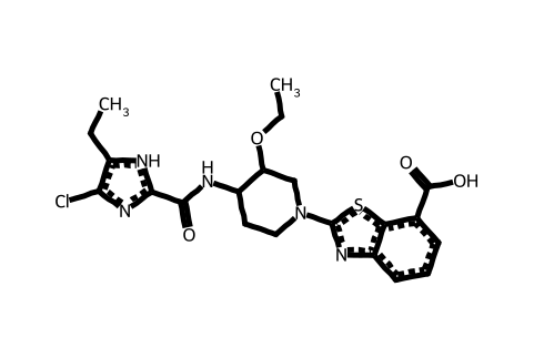 CCOC1CN(c2nc3cccc(C(=O)O)c3s2)CCC1NC(=O)c1nc(Cl)c(CC)[nH]1